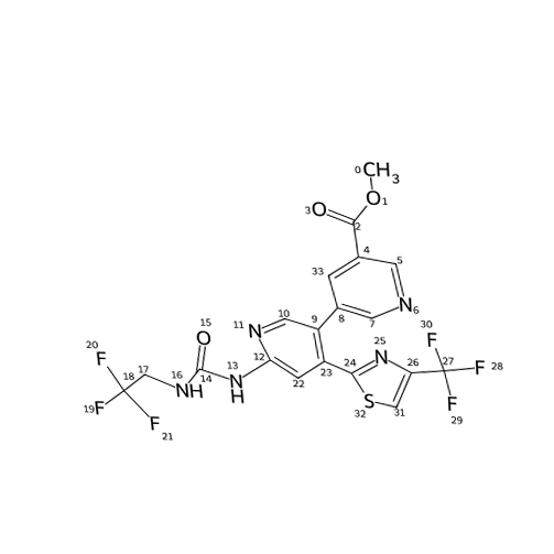 COC(=O)c1cncc(-c2cnc(NC(=O)NCC(F)(F)F)cc2-c2nc(C(F)(F)F)cs2)c1